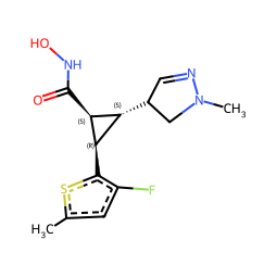 Cc1cc(F)c([C@H]2[C@@H](C(=O)NO)[C@@H]2C2C=NN(C)C2)s1